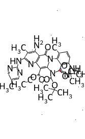 CCOC(=O)c1c(N(C(=O)OC(C)(C)C)C(=O)OC(C)(C)C)n(-c2c(C)ccc3[nH]ncc23)c(=O)c2c(N)c(C)c(Nc3ncc(C)cn3)nc12